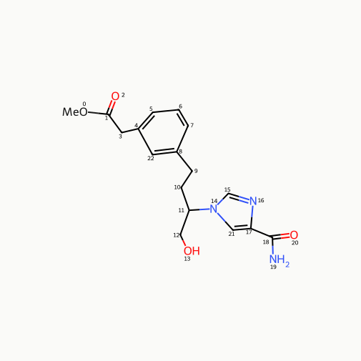 COC(=O)Cc1cccc(CCC(CO)n2cnc(C(N)=O)c2)c1